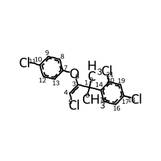 CC(C)(C(=CCl)Oc1ccc(Cl)cc1)c1ccc(Cl)cc1Cl